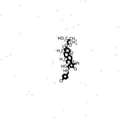 CC(C)C1=C2[C@H]3CC[C@@H]4[C@@]5(C)CC[C@H](OC(=O)CC(C)(C)C(=O)O)C(C)(C)C5CC[C@@]4(C)[C@]3(C)CC[C@@]2([C@@H](O)CNCc2ccc(Cl)cc2)CC1=O